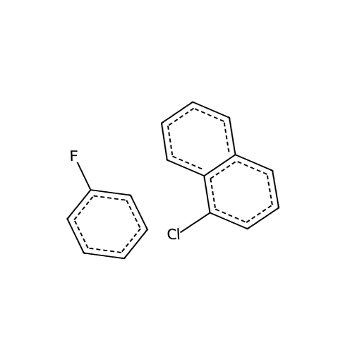 Clc1cccc2ccccc12.Fc1ccccc1